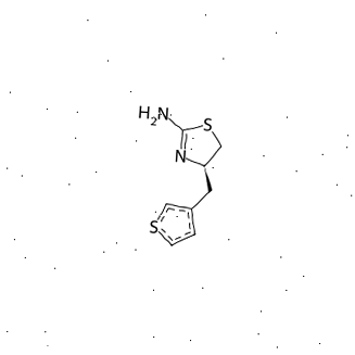 NC1=N[C@H](Cc2ccsc2)CS1